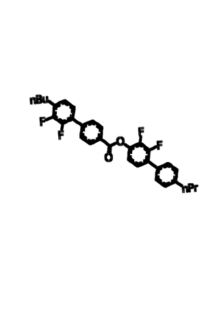 CCCCc1ccc(-c2ccc(C(=O)Oc3ccc(-c4ccc(CCC)cc4)c(F)c3F)cc2)c(F)c1F